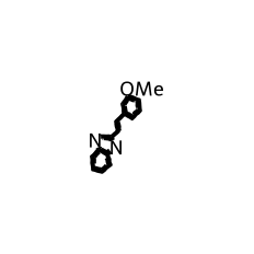 COc1cccc(/C=C/c2cnc3ccccc3n2)c1